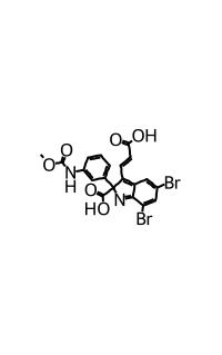 COC(=O)Nc1cccc(C2(C(=O)O)N=c3c(Br)cc(Br)cc3=C2C=CC(=O)O)c1